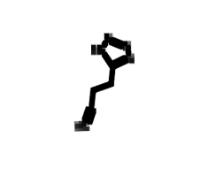 C#CCCc1nnn[nH]1